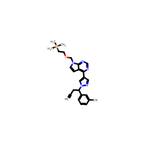 C#CCC(c1cccc(C#N)c1)n1cc(-c2ncnc3c2ccn3COCCS(C)(C)C)cn1